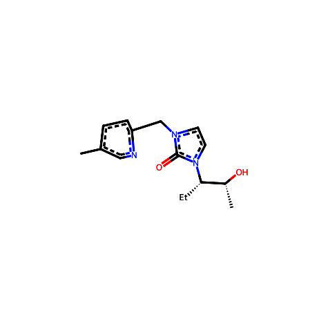 CC[C@@H]([C@@H](C)O)n1ccn(Cc2ccc(C)cn2)c1=O